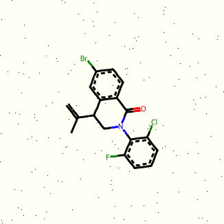 C=C(C)C1CN(c2c(F)cccc2Cl)C(=O)c2ccc(Br)cc21